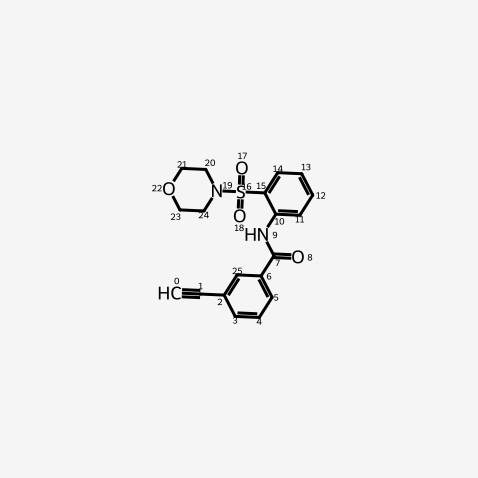 C#Cc1cccc(C(=O)Nc2ccccc2S(=O)(=O)N2CCOCC2)c1